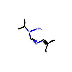 CC(C)=C/N=C\N(N)C(C)C